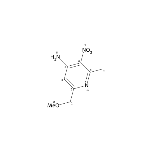 COCc1cc(N)c([N+](=O)[O-])c(C)n1